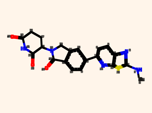 CCC(C)Nc1nc2ccc(-c3ccc4c(c3)CN(C3CCC(=O)NC3=O)C4=O)nc2s1